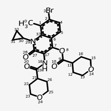 Cc1c(Br)ccc2c(OC(=O)C3CCOCC3)c(NC(=O)C3CCOCC3)c(=O)n(C3CC3)c12